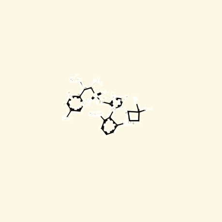 COc1cccc(OC)c1-n1c(NS(=O)(=O)[C@@H](C)[C@H](OC)c2ncc(Cl)cn2)nnc1[C@H]1CCC1(F)F